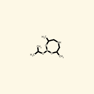 CC(C)OB1OC(C)CNCC(C)O1